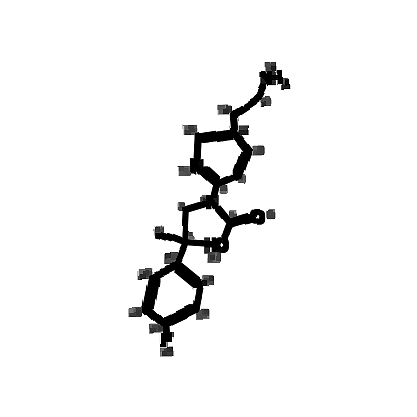 CC(C)(CN(C(=O)O)c1ccc(CCN)cn1)c1ccc(F)cc1